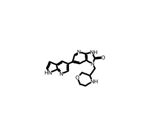 O=c1[nH]c2ncc(-c3cnc4[nH]ccc4c3)cc2n1CC1COCCN1